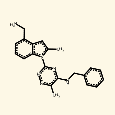 Cc1nnc(-n2c(C)cc3c(CN)cccc32)nc1NCc1ccccc1